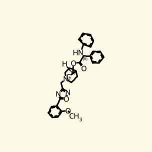 COc1ccccc1-c1nc(C[N+]23CCC(CC2)[C@@H](OC(=O)[C@H](Nc2ccccc2)c2ccccc2)C3)no1